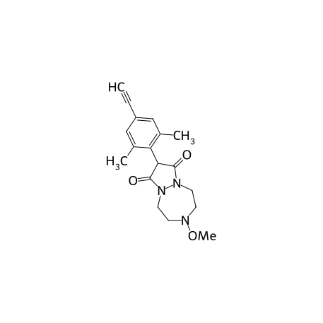 C#Cc1cc(C)c(C2C(=O)N3CCN(OC)CCN3C2=O)c(C)c1